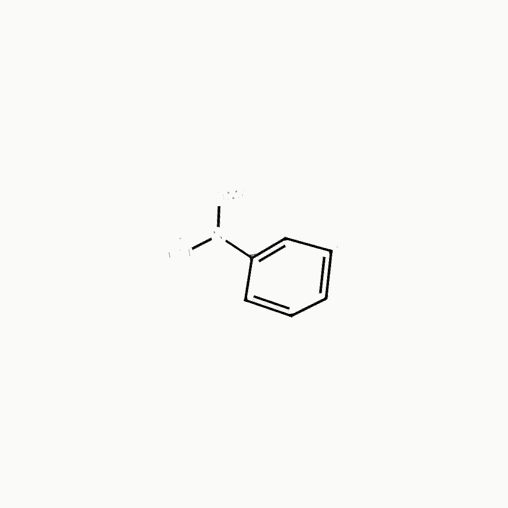 CON(c1ccccc1)C(C)(C)C